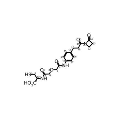 O=C(COCC(=O)NC(CS)C(=O)O)Nc1ccc(CCC(=O)N2CCC2=O)cc1